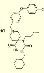 CCCCN1C(=O)[C@H](CC2CCCCC2)NC(=O)C12CCN(Cc1ccc(Oc3ccc(Cl)cc3)cc1)CC2.Cl